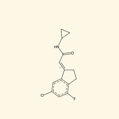 O=C(/C=C1\CCc2c(F)cc(Cl)cc21)NC1CC1